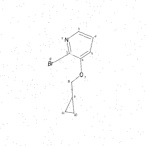 Brc1ncccc1OCC1CC1